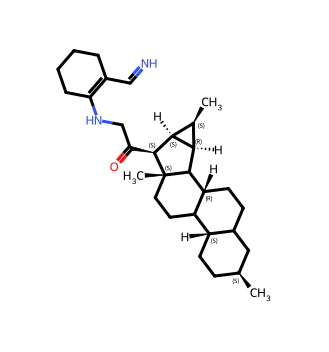 C[C@H]1CC[C@H]2C(CC[C@@H]3C2CC[C@@]2(C)C3[C@@H]3[C@H](C)[C@@H]3[C@@H]2C(=O)CNC2=C(C=N)CCCC2)C1